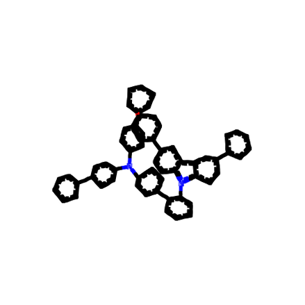 c1ccc(-c2ccc(N(c3ccc(-c4ccccc4)cc3)c3ccc(-c4ccccc4-n4c5ccc(-c6ccccc6)cc5c5cc(-c6ccccc6)ccc54)cc3)cc2)cc1